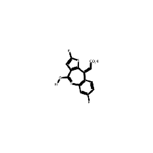 CCOC1=Nc2cc(F)ccc2/C(=C/C(=O)O)c2sc(F)cc21